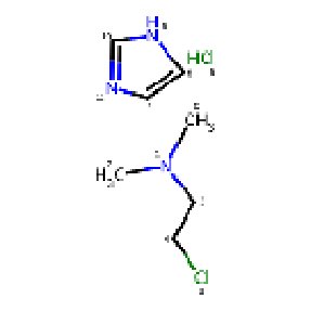 CN(C)CCCl.Cl.c1c[nH]cn1